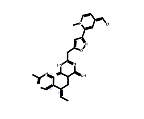 C=C(C)\N=C/C(=C\C)C(=C/C)/CC1C(=C)NC(Cc2cc(C3=CC(=CCC)C=CN3C)no2)=NC1=N